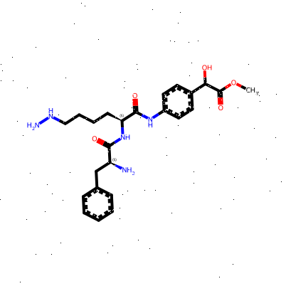 COC(=O)C(O)c1ccc(NC(=O)[C@H](CCCCNN)NC(=O)[C@@H](N)Cc2ccccc2)cc1